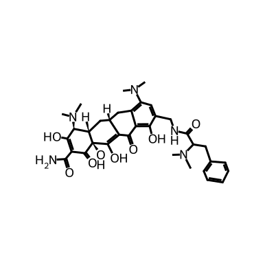 CN(C)c1cc(CNC(=O)C(Cc2ccccc2)N(C)C)c(O)c2c1C[C@H]1C[C@H]3[C@H](N(C)C)C(O)=C(C(N)=O)C(=O)[C@@]3(O)C(O)=C1C2=O